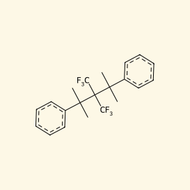 CC(C)(c1ccccc1)C(C(F)(F)F)(C(F)(F)F)C(C)(C)c1ccccc1